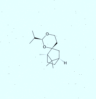 CC(C)[C@H]1OCC[C@]2(C[C@H]3CC[C@]2(C)C3(C)C)O1